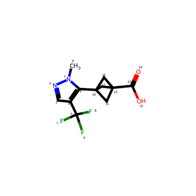 Cn1ncc(C(F)(F)F)c1C12CC(C(=O)O)(C1)C2